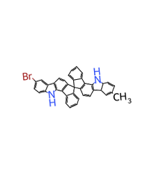 CC1=CC2c3ccc4c(c3NC2C=C1)-c1ccccc1C41c2ccccc2-c2c1ccc1c2[nH]c2ccc(Br)cc21